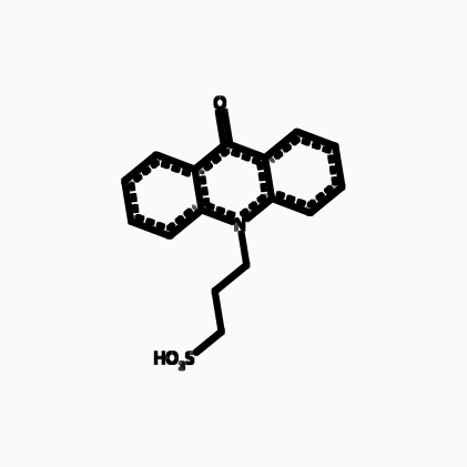 O=c1c2ccccc2n(CCCS(=O)(=O)O)c2ccccc12